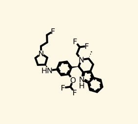 C[C@@H]1Cc2c([nH]c3ccccc23)[C@@H](c2ccc(N[C@@H]3CCN(CCCF)C3)cc2OC(F)F)N1CC(F)F